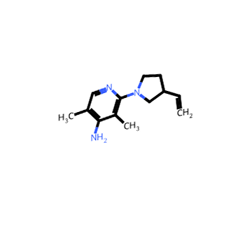 C=CC1CCN(c2ncc(C)c(N)c2C)C1